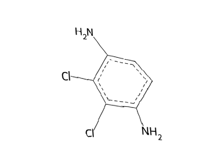 Nc1ccc(N)c(Cl)c1Cl